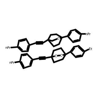 CCCc1ccc(C#CC23CCC(c4ccc(CC)cc4)(CC2)CC3)cc1.CCCc1ccc(C#CC23CCC(c4ccc(CCC)cc4)(CC2)CC3)cc1